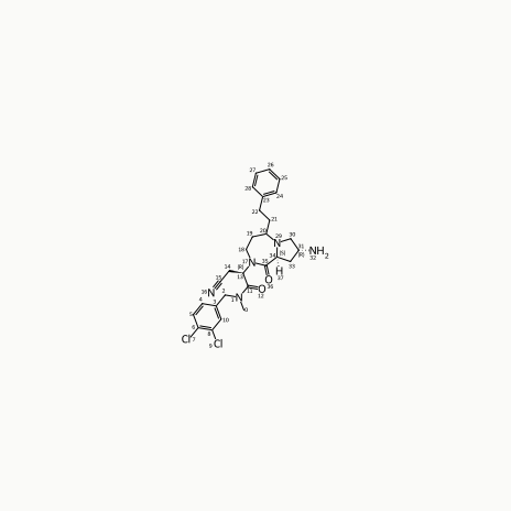 CN(Cc1ccc(Cl)c(Cl)c1)C(=O)[C@@H](CC#N)N1CCC(CCc2ccccc2)N2C[C@H](N)C[C@H]2C1=O